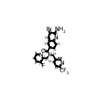 C[C@H](c1ncccc1F)N(Cc1ccc(C(F)(F)F)nn1)C(=O)c1ccc2nc(N)c(Br)cc2c1